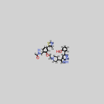 CC(=O)NCc1ccc(-c2scnc2C)cc1OCCN1CCC(c2c[nH]c3nnc(-c4ccccc4O)cc23)CC1